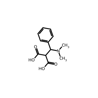 CN(C)C(c1ccccc1)C(C(=O)O)C(=O)O